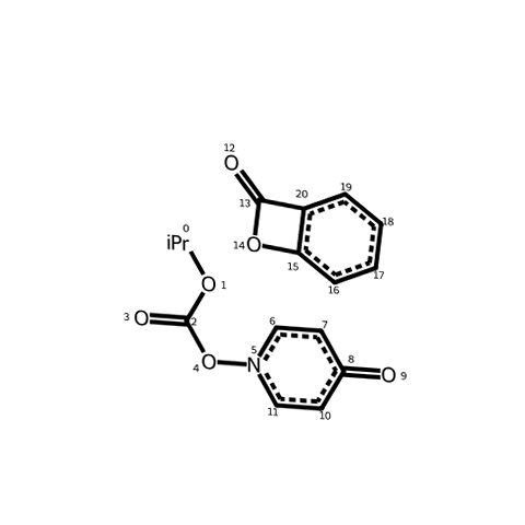 CC(C)OC(=O)On1ccc(=O)cc1.O=C1Oc2ccccc21